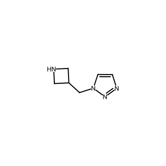 c1cn(CC2CNC2)nn1